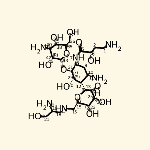 NCC[C@H](O)C(=O)N[C@@H]1C[C@H](N)C([C@H]2O[C@H](CNCC(N)CO)[C@@H](O)[C@H](O)[C@H]2O)[C@H](O)[C@H]1O[C@H]1O[C@H](CO)[C@@H](O)[C@H](N)[C@H]1O